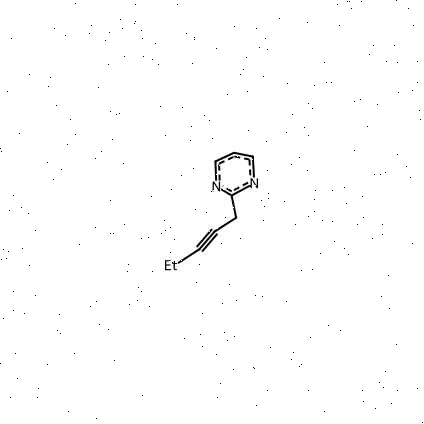 CCC#CCc1ncccn1